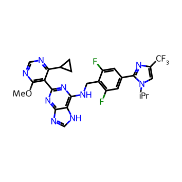 COc1ncnc(C2CC2)c1-c1nc(NCc2c(F)cc(-c3nc(C(F)(F)F)cn3C(C)C)cc2F)c2[nH]cnc2n1